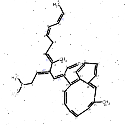 C=C\C(=C/C(=C\CP(C)C)C(/C)=C/C/C=C\C=C/C)c1cccccc(C)cc2ccccc12